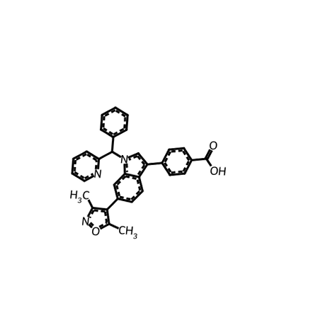 Cc1noc(C)c1-c1ccc2c(-c3ccc(C(=O)O)cc3)cn(C(c3ccccc3)c3ccccn3)c2c1